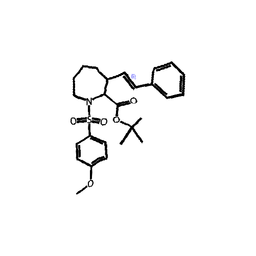 COc1ccc(S(=O)(=O)N2CCCCC(/C=C/c3ccccc3)C2C(=O)OC(C)(C)C)cc1